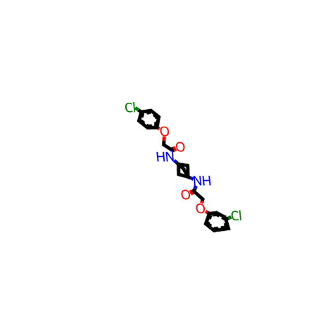 O=C(COc1ccc(Cl)cc1)NC12CC(NC(=O)COc3cccc(Cl)c3)(C1)C2